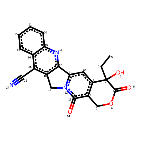 CCC1(O)C(=O)OCc2c1cc1n(c2=O)Cc2c-1nc1ccccc1c2C#N